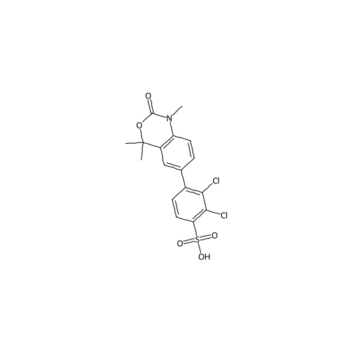 CN1C(=O)OC(C)(C)c2cc(-c3ccc(S(=O)(=O)O)c(Cl)c3Cl)ccc21